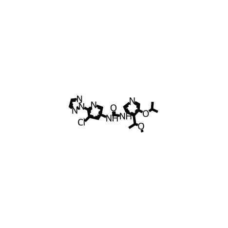 COC(C)c1c(NC(=O)Nc2cnc(-n3nccn3)c(Cl)c2)cncc1OC(C)C